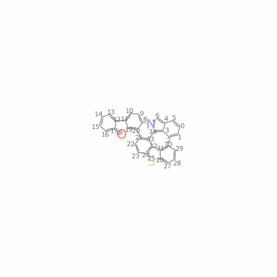 c1ccc2c(c1)cn1c3ccc4c5ccccc5oc4c3c3ccc4sc5ccccc5c4c3c21